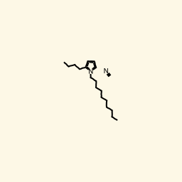 C#N.CCCCCCCCCCn1cccc1CCCC